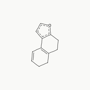 C1=CC2=C(CC1)CCc1occc12